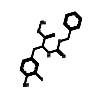 CC(C)(C)OC(=O)C(Cc1ccc(O)c(I)c1)NC(=O)OCc1ccccc1